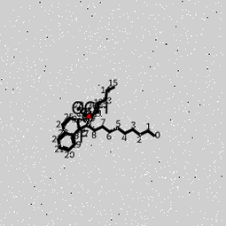 CCCCCCCCCC(CCCCCC)C1(F)c2ccccc2C=CC1S(=O)(=O)O